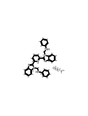 [Cl-].[Cl-].[Cl-].[V+3].c1ccc(NCn2c(-c3cccc(-c4nc5ccccc5n4CNc4ccccc4)n3)nc3ccccc32)cc1